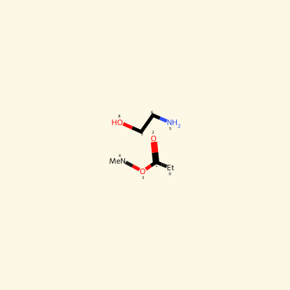 CCC(=O)ONC.NCCO